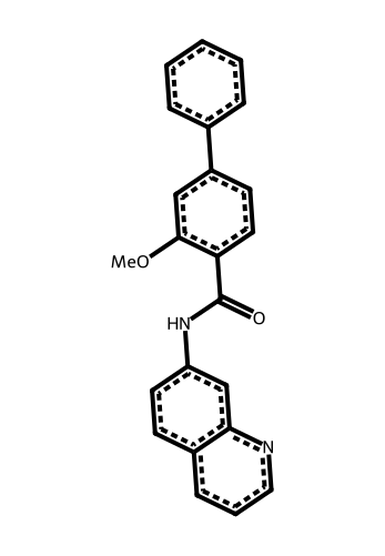 COc1cc(-c2ccccc2)ccc1C(=O)Nc1ccc2cccnc2c1